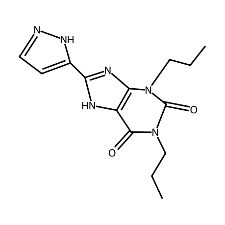 CCCn1c(=O)c2[nH]c(-c3ccn[nH]3)nc2n(CCC)c1=O